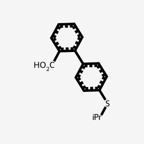 CC(C)Sc1ccc(-c2ccccc2C(=O)O)cc1